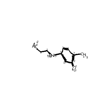 CC(=O)CCNc1ccc(C)c(Cl)c1